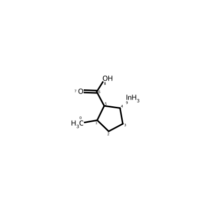 CC1CCCC1C(=O)O.[InH3]